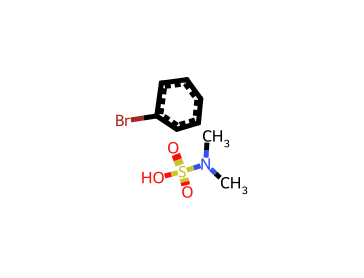 Brc1ccccc1.CN(C)S(=O)(=O)O